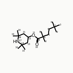 CC(C)(C)CCC(C)(C)C(=O)OC1CC(C)(C)NC(C)(C)C1